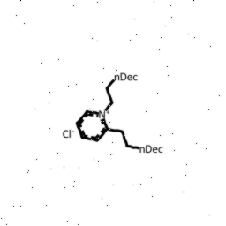 CCCCCCCCCCCCc1cccc[n+]1CCCCCCCCCCCC.[Cl-]